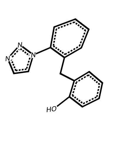 Oc1ccccc1Cc1ccccc1-n1ccnn1